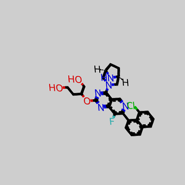 OCCC(CO)Oc1nc(N2C[C@H]3CC[C@@H](C2)N3)c2cnc(-c3cccc4cccc(Cl)c34)c(F)c2n1